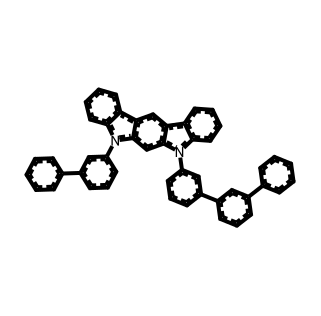 c1ccc(-c2cccc(-c3cccc(-n4c5ccccc5c5cc6c7ccccc7n(-c7cccc(-c8ccccc8)c7)c6cc54)c3)c2)cc1